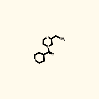 NCC1CN(C(=O)C2CCOCC2)CCO1